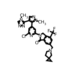 Cn1cnnc1-c1cnn(C)c1-c1cc(Cl)nc(N2Cc3c(cc(CN4CCC5(CC5)C4)cc3C(F)(F)F)C2=O)c1